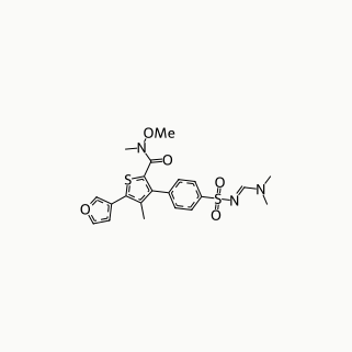 CON(C)C(=O)c1sc(-c2ccoc2)c(C)c1-c1ccc(S(=O)(=O)N=CN(C)C)cc1